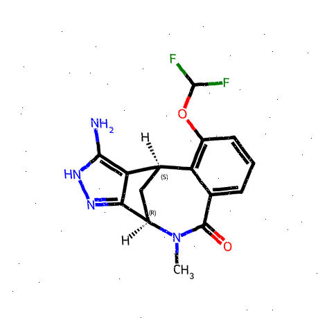 CN1C(=O)c2cccc(OC(F)F)c2[C@H]2C[C@@H]1c1n[nH]c(N)c12